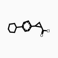 O=C(Cl)C1CC1c1ccc(C2CCCCC2)cc1